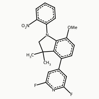 COc1ccc(-c2cc(F)nc(F)c2)c2c1N(c1ccccc1[N+](=O)[O-])CC2(C)C